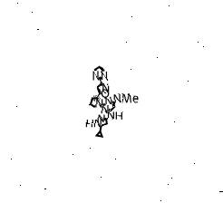 CNc1cc(Nc2cc(C3CC3)[nH]n2)nc(N2CCC[C@H]2c2cc(-c3ncccn3)no2)n1